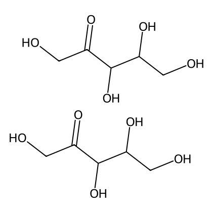 O=C(CO)C(O)C(O)CO.O=C(CO)C(O)C(O)CO